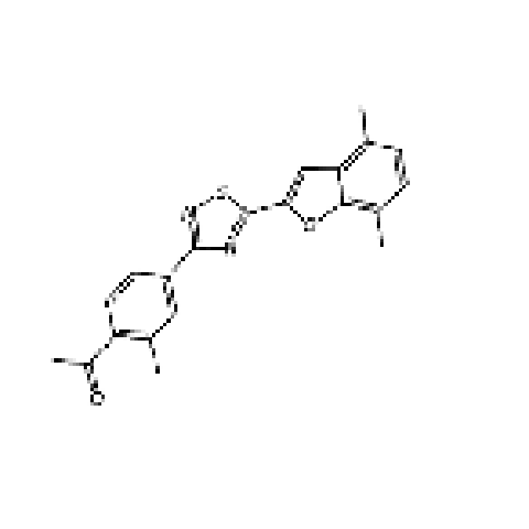 CC(=O)c1ccc(-c2nsc(-c3cc4c(C)ccc(C)c4o3)n2)cc1C